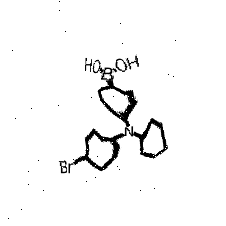 OB(O)C1CC=C(N(C2C=CCCC2)C2CCC(Br)CC2)CC1